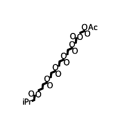 CC(=O)OC(=O)COC(=O)COC(=O)CCOC(=O)CCOC(=O)CCOC(=O)CCCOC(=O)CC(C)C